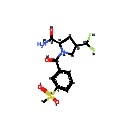 CS(=O)(=O)c1cccc(C(=O)N2CC(C(F)F)C[C@@H]2C(N)=O)c1